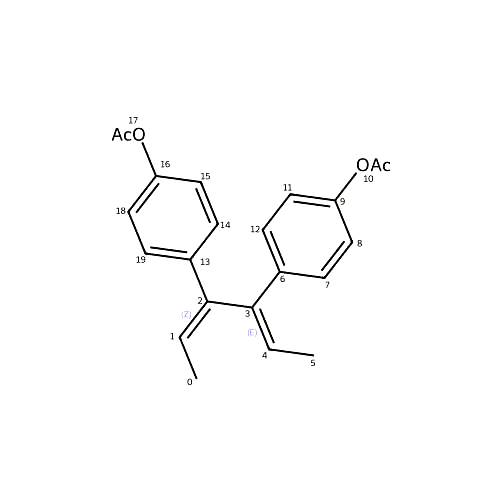 C/C=C(\C(=C\C)c1ccc(OC(C)=O)cc1)c1ccc(OC(C)=O)cc1